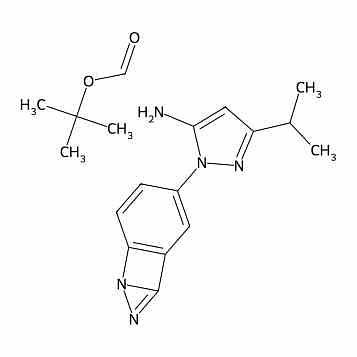 CC(C)(C)OC=O.CC(C)c1cc(N)n(-c2ccc3c(c2)c2nn3-2)n1